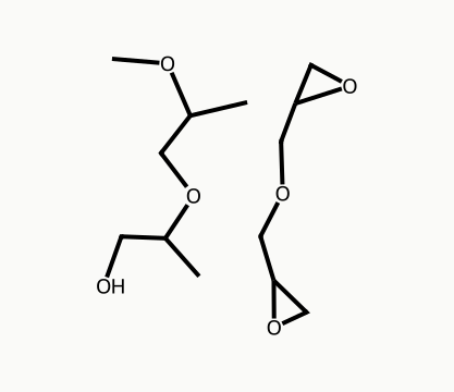 C(OCC1CO1)C1CO1.COC(C)COC(C)CO